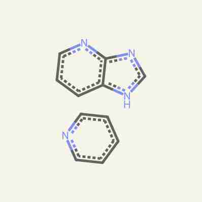 c1ccncc1.c1cnc2nc[nH]c2c1